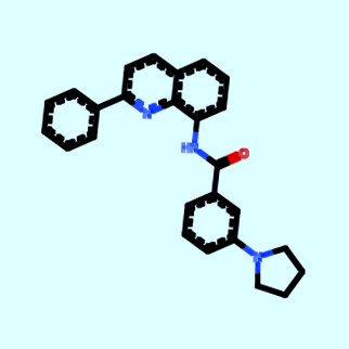 O=C(Nc1cccc2ccc(-c3ccccc3)nc12)c1cccc(N2CCCC2)c1